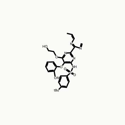 C=N/C(=N\C=C/C)c1nc(NS(=O)(=O)c2ccc(C(C)(C)C)cc2)c(Oc2ccccc2OC)c(OCCO)n1